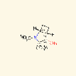 O=C(O)[C@H]1[C@@H](O)[C@H]2CC[C@H]2N1C(=O)O